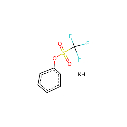 O=S(=O)(Oc1ccccc1)C(F)(F)F.[KH]